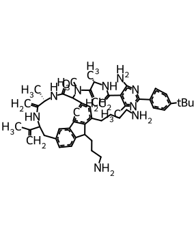 C=C(N[C@@H](C)C(=C)N(C)C1C(=O)N[C@@H](C)C(=C)NC(C(=C)C)Cc2ccc3c(c2)-c2cc1cc(CCCCN)c2C3CCCN)c1c(C)nc(-c2ccc(C(C)(C)C)cc2)nc1N